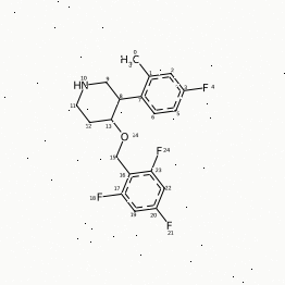 Cc1cc(F)ccc1C1CNCCC1OCc1c(F)cc(F)cc1F